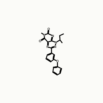 CCC(C)n1nc(-c2cccc(Oc3ccccc3)c2)nc2c(=O)n(C)c(=O)nc1-2